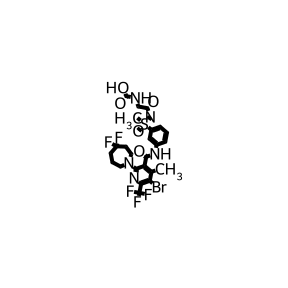 Cc1c(Br)c(C(F)(F)F)nc(N2CCCC(F)(F)CC2)c1C(=O)Nc1cccc(S(C)(=O)=NC(=O)CNC(=O)O)c1